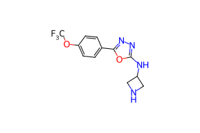 FC(F)(F)Oc1ccc(-c2nnc(NC3CNC3)o2)cc1